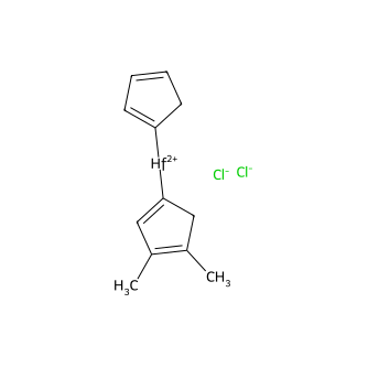 CC1=C(C)C[C]([Hf+2][C]2=CC=CC2)=C1.[Cl-].[Cl-]